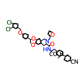 N#Cc1ccc(-c2ccc(CC(NC(=O)C3Cc4cc5c(cc4CN3Cc3ccco3)OC(c3ccc(OCc4ccc(Cl)c(Cl)c4)cc3)CO5)C(=O)O)cc2)cc1